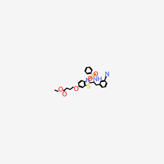 CCOC(=O)CCCOc1ccc2nc(C(Cc3cccc(C#N)c3)NS(=O)(=O)c3ccccc3)sc2c1